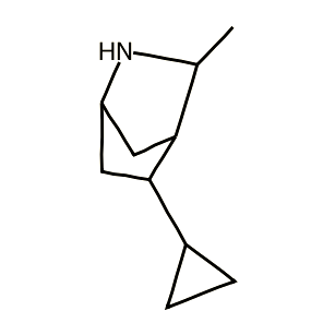 CC1NC2CC(C3CC3)C1C2